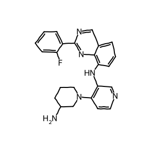 NC1CCCN(c2ccncc2Nc2cccc3cnc(-c4ccccc4F)nc23)C1